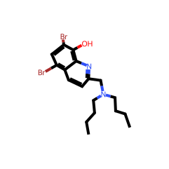 CCCCN(CCCC)Cc1ccc2c(Br)cc(Br)c(O)c2n1